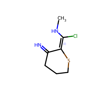 CN/C(Cl)=C1/SCCCC1=N